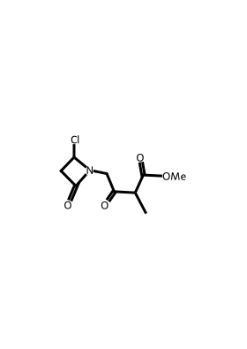 COC(=O)C(C)C(=O)CN1C(=O)CC1Cl